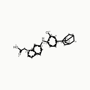 O=C(O)Cn1ccc2ccc(Nc3ccc(C45CC6CC(CC4C6)C5)cc3Cl)cc21